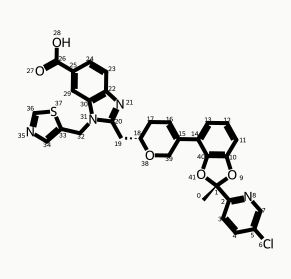 C[C@]1(c2ccc(Cl)cn2)Oc2cccc(C3=CC[C@@H](Cc4nc5ccc(C(=O)O)cc5n4Cc4cncs4)OC3)c2O1